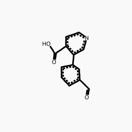 O=Cc1cccc(-c2cnccc2C(=O)O)c1